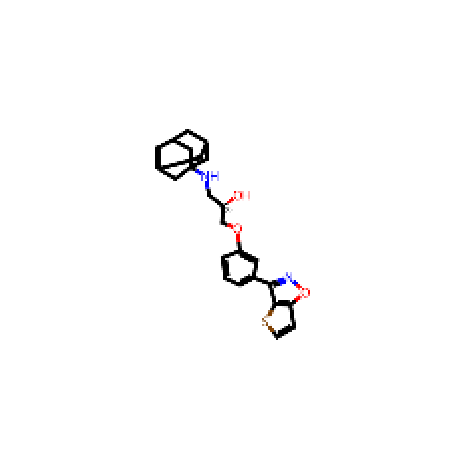 O[C@H](CNC12CC3CC(CC(C3)C1)C2)COc1cccc(-c2noc3ccsc23)c1